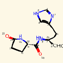 O=[C][C@H](Cc1c[nH]cn1)NC(=O)[C@@H]1CCC(=O)N1